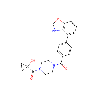 O=C(c1ccc(-c2cccc3c2NCO3)cc1)N1CCN(C(=O)C2(O)CC2)CC1